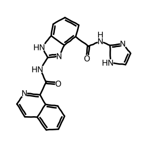 O=C(Nc1nc2c(C(=O)Nc3ncc[nH]3)cccc2[nH]1)c1nccc2ccccc12